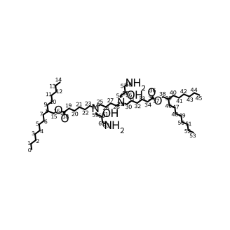 CCCCCCCCC(CCCCCC)COC(=O)CCCCCN(CCCCN(CCCCCC(=O)OCC(CCCCCC)CCCCCCCC)CC(O)CN)CC(O)CN